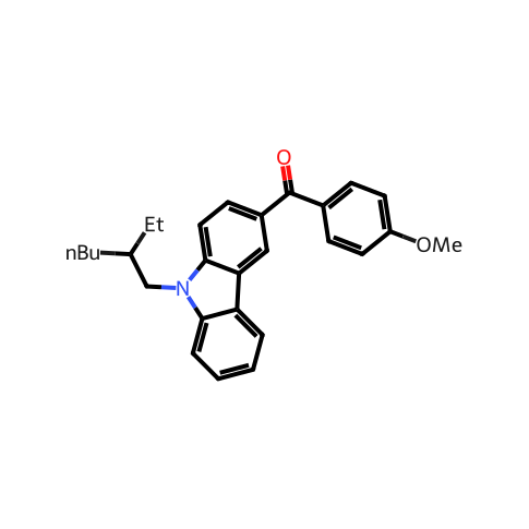 CCCCC(CC)Cn1c2ccccc2c2cc(C(=O)c3ccc(OC)cc3)ccc21